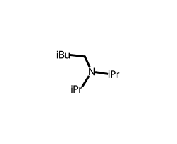 CCC(C)CN(C(C)C)C(C)C